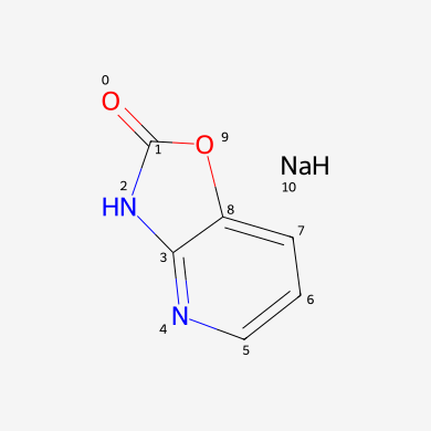 O=c1[nH]c2ncccc2o1.[NaH]